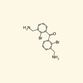 NCc1cccc(C(=O)c2cccc(CN)c2Br)c1Br